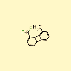 Cc1cccc2c1C1C(B(F)F)=CC=CC21